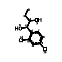 CCC(O)C(O)c1ccc(Cl)cc1Cl